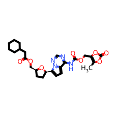 Cc1oc(=O)oc1COC(=O)Nc1ncnn2c([C@H]3CC[C@@H](COC(=O)CC4CCCCC4)O3)ccc12